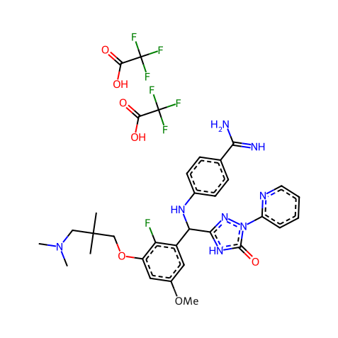 COc1cc(OCC(C)(C)CN(C)C)c(F)c(C(Nc2ccc(C(=N)N)cc2)c2nn(-c3ccccn3)c(=O)[nH]2)c1.O=C(O)C(F)(F)F.O=C(O)C(F)(F)F